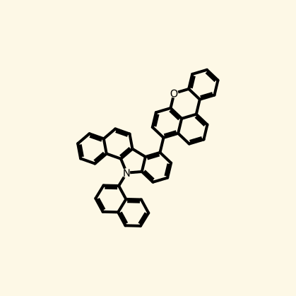 c1ccc2c(c1)Oc1ccc(-c3cccc4c3c3ccc5ccccc5c3n4-c3cccc4ccccc34)c3cccc-2c13